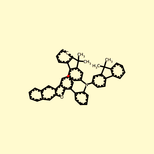 CC1(C)c2ccccc2-c2ccc(N(c3ccc4c(c3)C(C)(C)c3ccccc3-4)c3ccccc3-c3cccc4c3oc3cc5ccccc5cc34)cc21